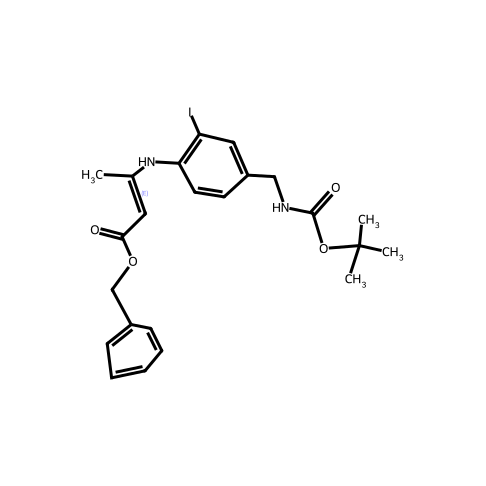 C/C(=C\C(=O)OCc1ccccc1)Nc1ccc(CNC(=O)OC(C)(C)C)cc1I